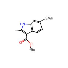 CSc1ccc2c(C(=O)OC(C)(C)C)c(C)[nH]c2c1